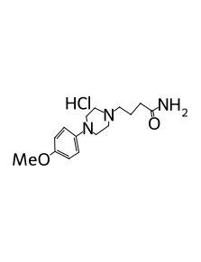 COc1ccc(N2CCN(CCCC(N)=O)CC2)cc1.Cl